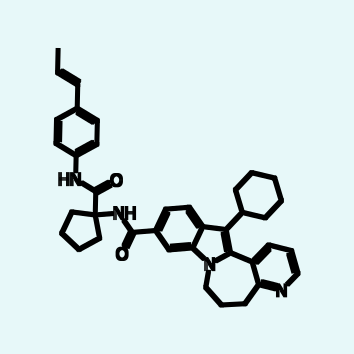 C/C=C/c1ccc(NC(=O)C2(NC(=O)c3ccc4c(C5CCCCC5)c5n(c4c3)CCCc3ncccc3-5)CCCC2)cc1